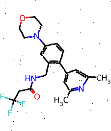 Cc1cc(-c2ccc(N3CCOCC3)cc2CNC(=O)CC(F)(F)F)cc(C)n1